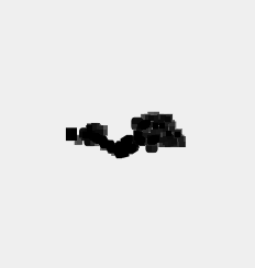 CCCCCCCCC(CCCCCC)C(=O)OCC(COC(=O)C(CCCCCC)CCCCCCCC)N1CCC2(CCN(CCCCCO[Si](C)(C)C(C)(C)C)C2)CC1